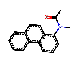 CC(=O)N(C)c1cccc2c1ccc1ccccc12